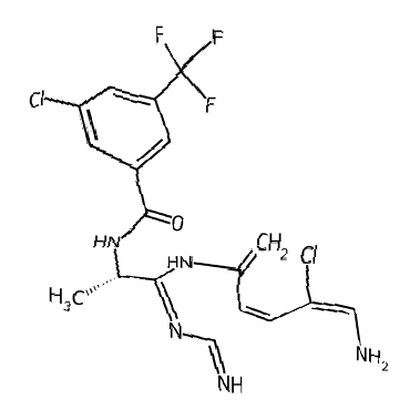 C=C(/C=C\C(Cl)=C/N)N/C(=N\C=N)[C@H](C)NC(=O)c1cc(Cl)cc(C(F)(F)F)c1